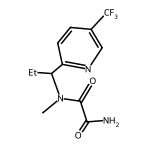 CCC(c1ccc(C(F)(F)F)cn1)N(C)C(=O)C(N)=O